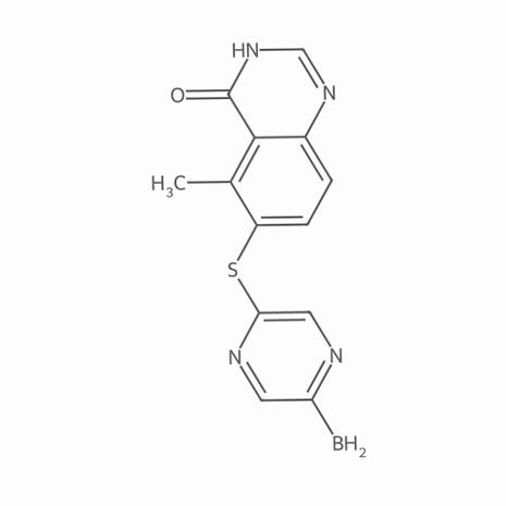 Bc1cnc(Sc2ccc3nc[nH]c(=O)c3c2C)cn1